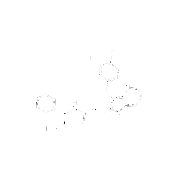 O=C(NCc1nc2cccnc2n1Cc1ccc(F)c(F)c1)N[C@@H](CO)c1ccccc1